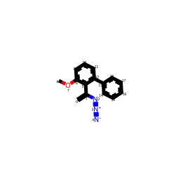 C=C(N=[N+]=[N-])c1c(OC)cccc1-c1ccccc1